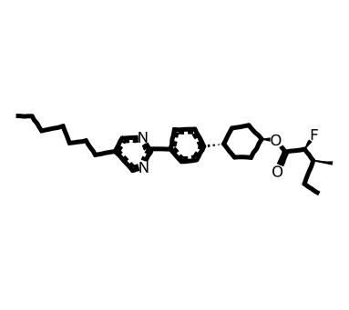 CCCCCCCc1cnc(-c2ccc([C@H]3CC[C@H](OC(=O)[C@@H](F)[C@@H](C)CC)CC3)cc2)nc1